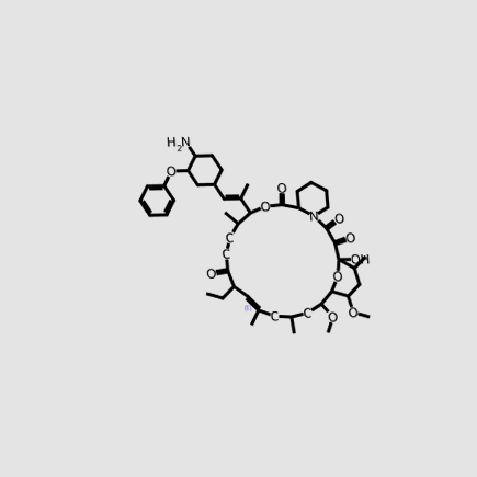 CCC1/C=C(\C)CC(C)CC(OC)C2OC(O)(C(=O)C(=O)N3CCCCC3C(=O)OC(C(C)=CC3CCC(N)C(Oc4ccccc4)C3)C(C)CCC1=O)C(C)CC2OC